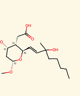 CCCCCC(C)(O)C=C[C@H]1O[C@H](OC)C[C@H](O)[C@@H]1CC(=O)O